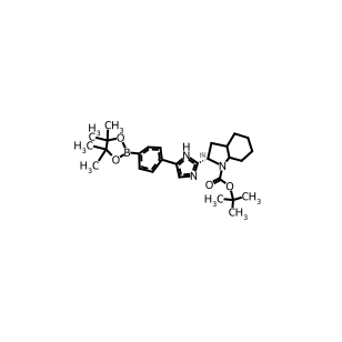 CC(C)(C)OC(=O)N1C2CCCCC2C[C@H]1c1ncc(-c2ccc(B3OC(C)(C)C(C)(C)O3)cc2)[nH]1